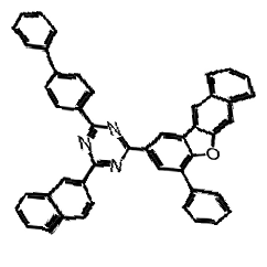 c1ccc(-c2ccc(-c3nc(-c4ccc5ccccc5c4)nc(-c4cc(-c5ccccc5)c5oc6cc7ccccc7cc6c5c4)n3)cc2)cc1